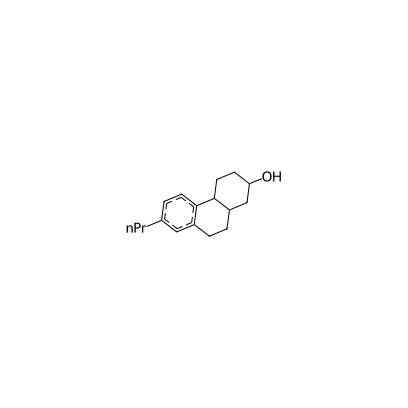 CCCc1ccc2c(c1)CCC1CC(O)CCC21